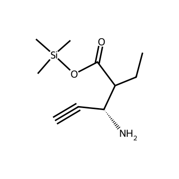 C#C[C@@H](N)C(CC)C(=O)O[Si](C)(C)C